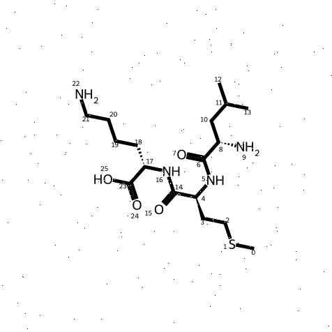 CSCC[C@H](NC(=O)[C@@H](N)CC(C)C)C(=O)N[C@@H](CCCCN)C(=O)O